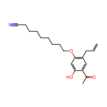 C=CCc1cc(C(C)=O)c(O)cc1OCCCCCCCCC#N